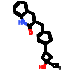 CC1(O)CC(c2ccc(Cc3cc4ccccc4[nH]c3=O)cc2)C1